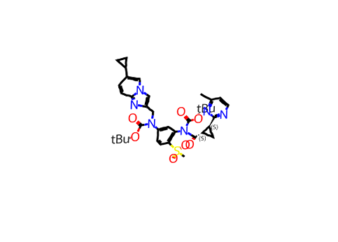 Cc1ccnc([C@H]2C[C@@H]2C(=O)N(C(=O)OC(C)(C)C)c2cc(N(Cc3cn4cc(C5CC5)ccc4n3)C(=O)OC(C)(C)C)ccc2S(C)(=O)=O)n1